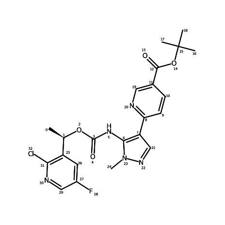 C[C@@H](OC(=O)Nc1c(-c2ccc(C(=O)OC(C)(C)C)cn2)cnn1C)c1cc(F)cnc1Cl